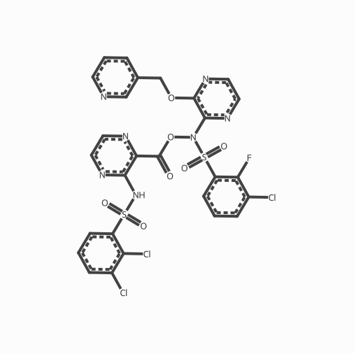 O=C(ON(c1nccnc1OCc1cccnc1)S(=O)(=O)c1cccc(Cl)c1F)c1nccnc1NS(=O)(=O)c1cccc(Cl)c1Cl